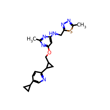 Cc1nc(NCc2nnc(C)s2)cc(OCC2CC2c2ccc(C3CC3)cn2)n1